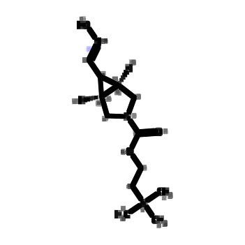 C[Si](C)(C)CCOC(=O)N1C[C@@H]2C(/C=N/O)[C@@H]2C1